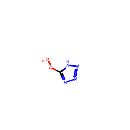 OOc1nnn[nH]1